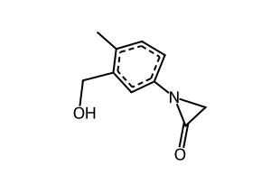 Cc1ccc(N2CC2=O)cc1CO